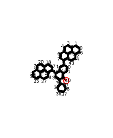 c1cc2ccc3ccc(-c4ccc5c(c4)c(-c4ccc6ccc7cccc8ccc4c6c78)cc4c6ccccc6oc54)c4ccc(c1)c2c34